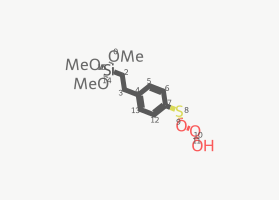 CO[Si](CCc1ccc(SOOO)cc1)(OC)OC